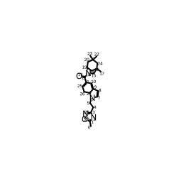 Cc1nc(CCN2C=CC3=CC(C(=O)N4CC5(C)CC4CC(C)(C)C5)=CCC32)no1